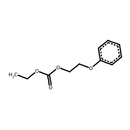 [CH2]COC(=O)OCCOc1ccccc1